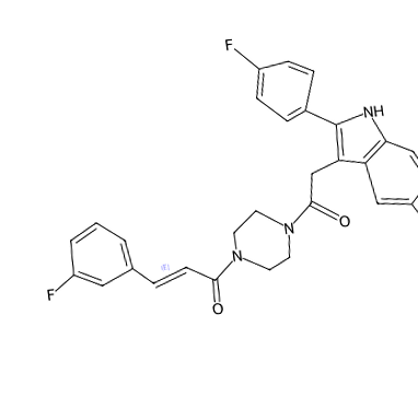 O=C(/C=C/c1cccc(F)c1)N1CCN(C(=O)Cc2c(-c3ccc(F)cc3)[nH]c3ccc(Br)cc23)CC1